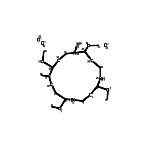 COC1CCNC(OC)CCN(C)C(OC)CC[N]([Ti+3])C(OC)CCN1.[Cl-].[Cl-].[Cl-]